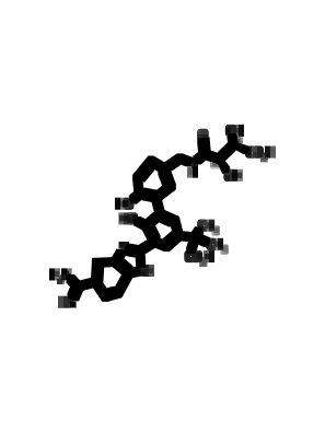 CC(C)(C(=O)O)c1cc(-c2nc3cc(C(=N)N)ccc3[nH]2)c(O)c(-c2cc(CNC(=O)[C@H](O)[C@@H](O)C(=O)O)ccc2O)c1